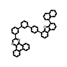 c1cc(-c2ccc(-c3cccc4c3oc3c(-c5cccc6ccccc56)cccc34)cc2)cc(-c2cccc(-c3cnc4c5ccccc5c5ccccc5c4n3)c2)c1